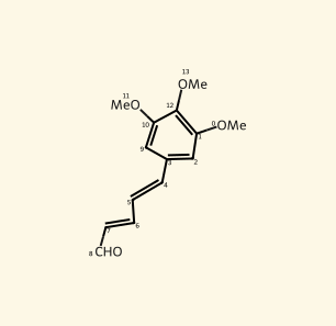 COc1cc(C=CC=CC=O)cc(OC)c1OC